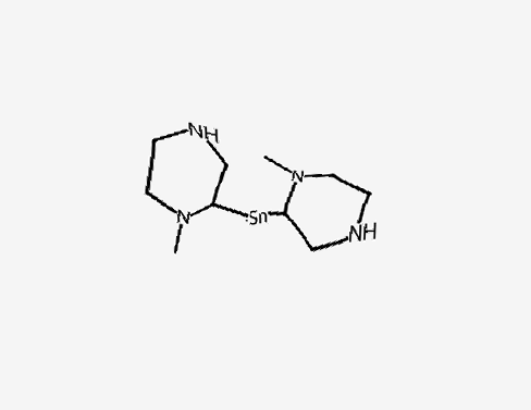 CN1CCNC[CH]1[Sn][CH]1CNCCN1C